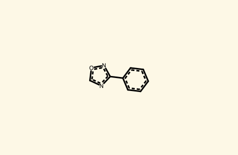 c1ccc(-c2ncon2)cc1